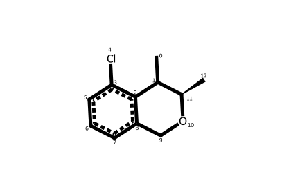 CC1c2c(Cl)cccc2CO[C@@H]1C